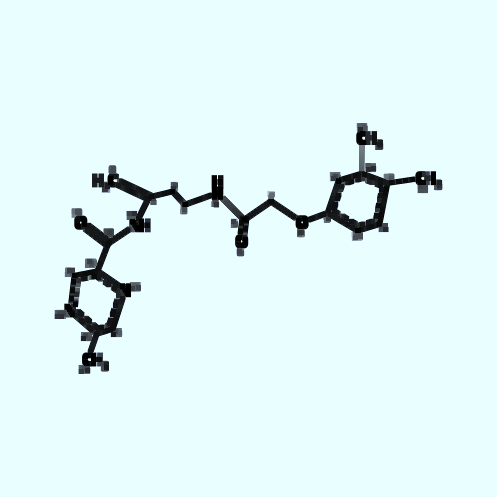 C=C(CCNC(=O)COc1ccc(C)c(C)c1)NC(=O)c1cnc(C)cn1